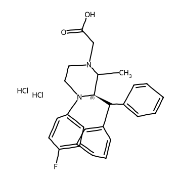 CC1[C@@H](C(c2ccccc2)c2ccccc2)N(c2ccc(F)cc2)CCN1CC(=O)O.Cl.Cl